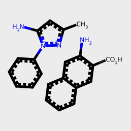 Cc1cc(N)n(-c2ccccc2)n1.Nc1cc2ccccc2cc1C(=O)O